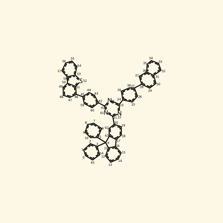 c1ccc(C2(c3ccccc3)c3ccccc3-c3ccc(-c4nc(-c5ccc(-c6ccc7ccccc7c6)cc5)nc(-c5ccc(-c6cccc7c6sc6ccccc67)cc5)n4)cc32)cc1